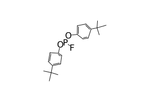 CC(C)(C)c1ccc(OP(F)Oc2ccc(C(C)(C)C)cc2)cc1